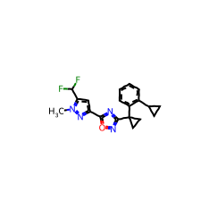 Cn1nc(-c2nc(C3(c4ccccc4C4CC4)CC3)no2)cc1C(F)F